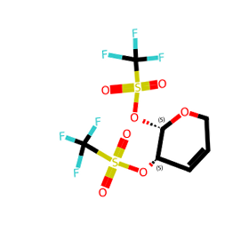 O=S(=O)(O[C@@H]1OCC=C[C@@H]1OS(=O)(=O)C(F)(F)F)C(F)(F)F